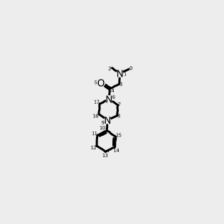 CN(C)CC(=O)N1CCN(C2=CC[CH]C=C2)CC1